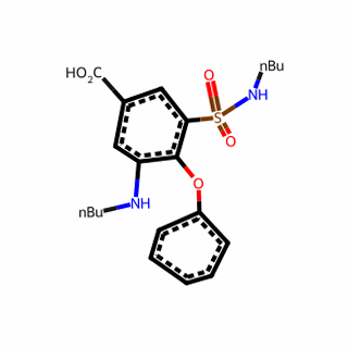 CCCCNc1cc(C(=O)O)cc(S(=O)(=O)NCCCC)c1Oc1ccccc1